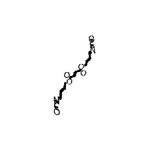 O=C=NCCCCOC(=O)C=CC(=O)OCCCCN=C=O